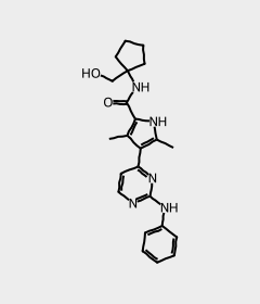 Cc1[nH]c(C(=O)NC2(CO)CCCC2)c(C)c1-c1ccnc(Nc2ccccc2)n1